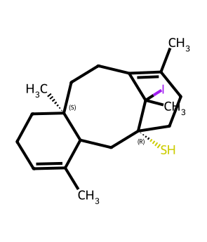 CC1=CCC[C@@]2(C)CCC3=C(C)CC[C@@](S)(CC12)C3(C)I